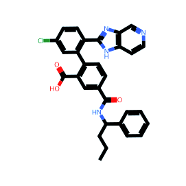 CCCC(NC(=O)c1ccc(-c2cc(Cl)ccc2-c2nc3cnccc3[nH]2)c(C(=O)O)c1)c1ccccc1